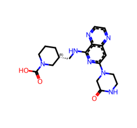 O=C1CN(c2cc3nccnc3c(NC[C@H]3CCCN(C(=O)O)C3)n2)CCN1